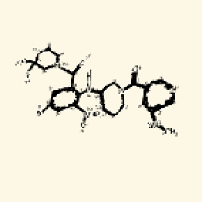 CNc1cncc(C(=O)N2CCCC(Nc3c(C(=O)N4CCOC(F)(F)C4)cc(Br)cc3[N+](=O)[O-])C2)c1